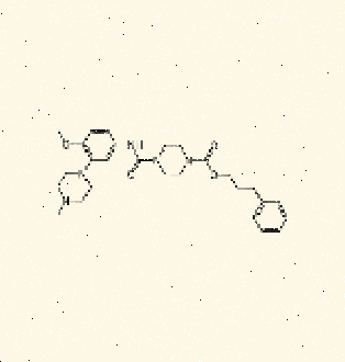 COc1ccc(NC(=O)N2CCN(C(=O)OCCCc3ccccc3)CC2)cc1N1CCN(C)CC1